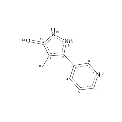 Cc1c(-c2cccnc2)[nH][nH]c1=O